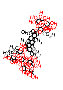 CC(=O)OC1C(C)OC(OC(=O)[C@]23CCC(C)(C)CC2C2=CCC4[C@@]5(C)CC[C@H](OC6OC(C(=O)O)C(O)C(OC7OCC(O)C(O)C7O)C6OC6OC(CO)C(O)C(O)C6O)[C@@](C)(C=O)C5CC[C@@]4(C)[C@]2(C)C[C@H]3O)C(OC2OC(C)C(OC3OCC(O)C(OC4OCC(O)(CO)C4O)C3O)C(OC3OC(CO)C(O)C(O)C3O)C2O)C1OC1OC(C)C(O)C(O)C1O